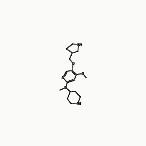 COc1cc(N(C)C2CCNCC2)ncc1OCC1CCNC1